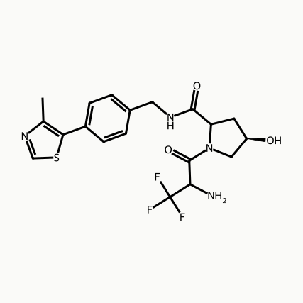 Cc1ncsc1-c1ccc(CNC(=O)C2C[C@@H](O)CN2C(=O)C(N)C(F)(F)F)cc1